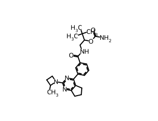 CC1CCN1c1nc2c(c(-c3cccc(C(=O)NCC(OC(N)=O)C(C)(C)C)c3)n1)CCC2